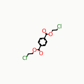 O=C(OCCCl)c1ccc(C(=O)OCCCl)cc1